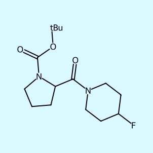 CC(C)(C)OC(=O)N1CCCC1C(=O)N1CCC(F)CC1